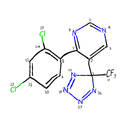 FC(F)(F)C1(c2cn[c]nc2-c2ccc(Cl)cc2Cl)N=NN=N1